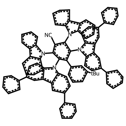 CC(C)(C)c1cccc(-c2c(-n3c4ccc(-c5ccccc5)cc4c4cc(-c5ccccc5)ccc43)c(-n3c4ccccc4c4ccccc43)c(C#N)c(-n3c4ccccc4c4ccccc43)c2-n2c3ccc(-c4ccccc4)cc3c3cc(-c4ccccc4)ccc32)c1